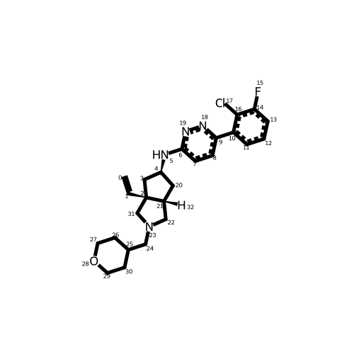 C=C[C@@]12C[C@@H](Nc3ccc(-c4cccc(F)c4Cl)nn3)C[C@@H]1CN(CC1CCOCC1)C2